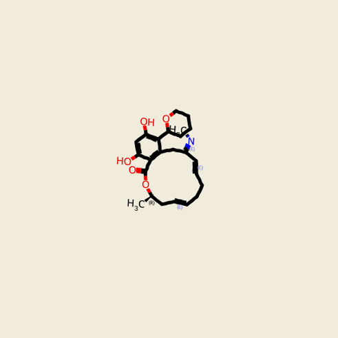 C/N=C1/C=C/CC/C=C/C[C@@H](C)OC(=O)c2c(O)cc(O)c(C3CCCCO3)c2C1